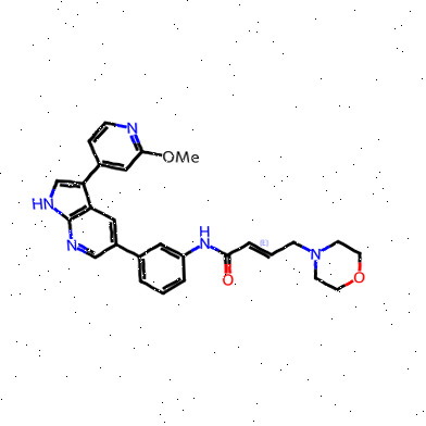 COc1cc(-c2c[nH]c3ncc(-c4cccc(NC(=O)/C=C/CN5CCOCC5)c4)cc23)ccn1